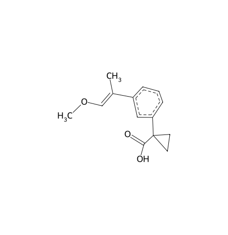 COC=C(C)c1cccc(C2(C(=O)O)CC2)c1